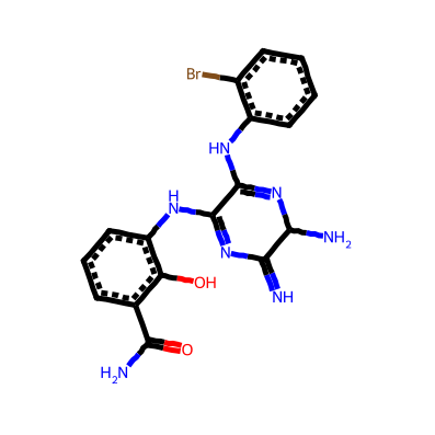 N=C1N=C(Nc2cccc(C(N)=O)c2O)C(Nc2ccccc2Br)=NC1N